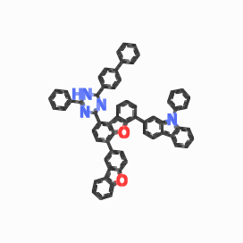 c1ccc(C2=NC(c3ccc(-c4ccc5oc6ccccc6c5c4)c4oc5c(-c6ccc7c8ccccc8n(-c8ccccc8)c7c6)cccc5c34)=NC(c3ccc(-c4ccccc4)cc3)N2)cc1